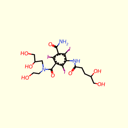 NC(=O)c1c(I)c(NC(=O)CCC(O)CO)c(I)c(C(=O)N(CCO)CC(O)CO)c1I